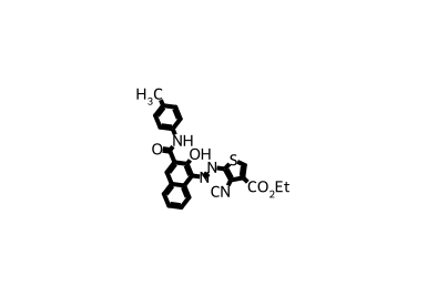 [C-]#[N+]c1c(C(=O)OCC)csc1/N=N/c1c(O)c(C(=O)Nc2ccc(C)cc2)cc2ccccc12